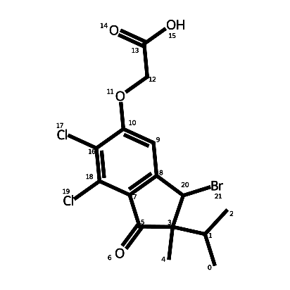 CC(C)C1(C)C(=O)c2c(cc(OCC(=O)O)c(Cl)c2Cl)C1Br